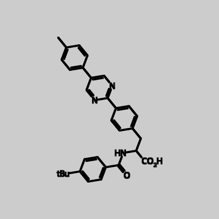 Cc1ccc(-c2cnc(-c3ccc(CC(NC(=O)c4ccc(C(C)(C)C)cc4)C(=O)O)cc3)nc2)cc1